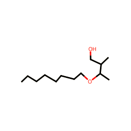 CCCCCCCCOC(C)C(C)CO